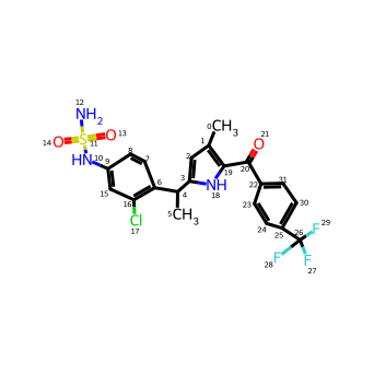 Cc1cc(C(C)c2ccc(NS(N)(=O)=O)cc2Cl)[nH]c1C(=O)c1ccc(C(F)(F)F)cc1